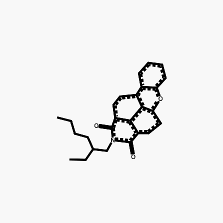 CCCCC(CC)Cn1c(=O)c2ccc3oc4ccccc4c4ccc(c1=O)c2c34